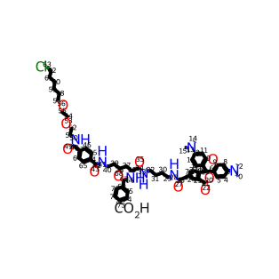 CN(C)c1ccc2c(c1)Oc1cc(N(C)C)ccc1C21OC(=O)c2cc(C(=O)NCCCCNC(=O)C(CCCCNC(=O)c3ccc(C(=O)NCCOCCOCCCCCCCl)cc3)NC(=O)c3ccc(C(=O)O)cc3)ccc21